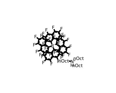 CCCCCCCC[NH+](CCCCCCCC)CCCCCCCC.Fc1c(F)c(F)c2c([B-](c3c(F)c(F)c(F)c4c(F)c(F)c(F)c(F)c34)(c3c(F)c(F)c(F)c4c(F)c(F)c(F)c(F)c34)c3c(F)c(F)c(F)c4c(F)c(F)c(F)c(F)c34)c(F)c(F)c(F)c2c1F